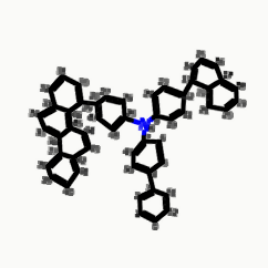 c1ccc(-c2ccc(N(c3ccc(-c4cccc5ccccc45)cc3)c3ccc(-c4cccc5ccc6c7ccccc7ccc6c45)cc3)cc2)cc1